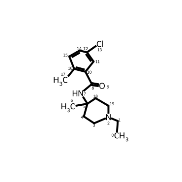 CCN1CCC(C)(NC(=O)c2cc(Cl)ccc2C)CC1